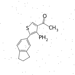 CC(=O)c1csc(-c2ccc3c(c2)CCC3)c1P